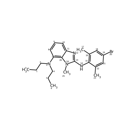 CCCN(CCC)c1cccc2nc(Nc3c(C)cc(Br)cc3C)n(C)c12